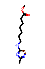 COC(=O)CCCCCCNc1nc(C)ns1